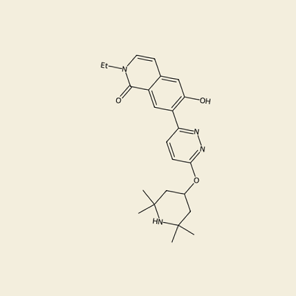 CCn1ccc2cc(O)c(-c3ccc(OC4CC(C)(C)NC(C)(C)C4)nn3)cc2c1=O